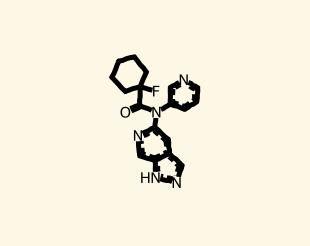 O=C(N(c1cccnc1)c1cc2cn[nH]c2cn1)C1(F)CCCCC1